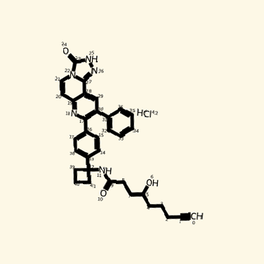 C#CCCCC(O)CCC(=O)NC1(c2ccc(-c3nc4ccn5c(=O)[nH]nc5c4cc3-c3ccccc3)cc2)CCC1.Cl